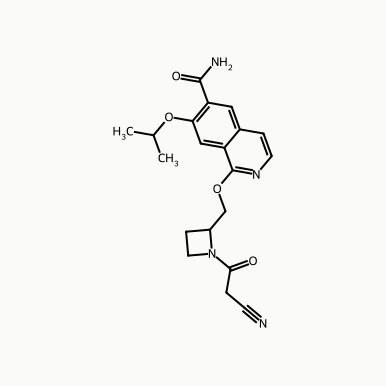 CC(C)Oc1cc2c(OCC3CCN3C(=O)CC#N)nccc2cc1C(N)=O